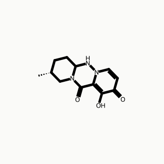 C[C@@H]1CCC2Nn3ccc(=O)c(O)c3C(=O)N2C1